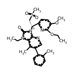 CCOc1nc([C@@H](CS(C)(=O)=O)n2c(=O)n(CC)c3c(C)c(-c4ccccc4C)cnc32)ccc1OC